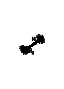 [2H]C([2H])([2H])C(C)(CCCCCCCCCCCCCCC(C)(C([2H])([2H])[2H])C([2H])([2H])[2H])C([2H])([2H])[2H]